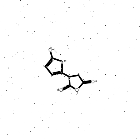 Cc1ccc(C2CC(=O)OC2=O)s1